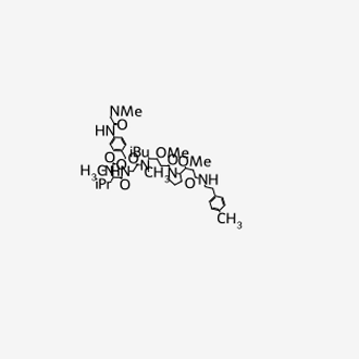 CCC(C)C(C(CC(=O)N1CCCC1C(CC(=O)NCCc1ccc(C)cc1)OC)OC)N(C)C(=O)CNC(=O)C(C(C)C)N(C)C(=O)OCc1ccc(NC(=O)CNC)cc1